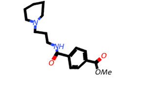 COC(=O)c1ccc(C(=O)NCCCN2CCCCC2)cc1